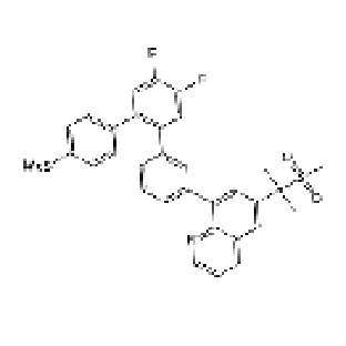 CSc1ccc(-c2cc(F)c(F)cc2-c2cccc(-c3cc(C(C)(C)S(C)(=O)=O)cc4cccnc34)c2)cc1